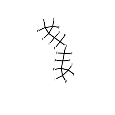 FC(F)(OC(F)(F)C(F)(F)C1(F)C(F)(F)C1(F)F)C(F)(F)C1(F)C(F)(F)C1(F)F